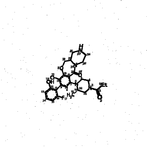 CCC(=O)N1CCN(c2nc(-c3c(O)cccc3F)c(Cl)c3c2C(=O)N2CCNCC2CO3)[C@@H](C)C1